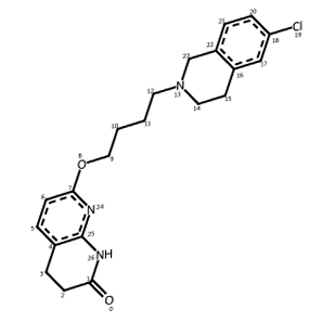 O=C1CCc2ccc(OCCCCN3CCc4cc(Cl)ccc4C3)nc2N1